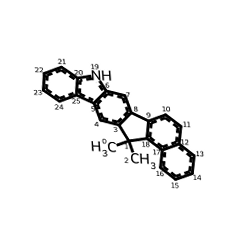 CC1(C)c2cc3c(cc2-c2ccc4ccccc4c21)[nH]c1ccccc13